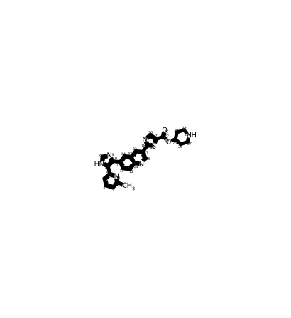 Cc1cccc(-c2[nH]cnc2-c2ccc3ncc(-c4ncc(C(=O)OC5CCNCC5)s4)cc3c2)n1